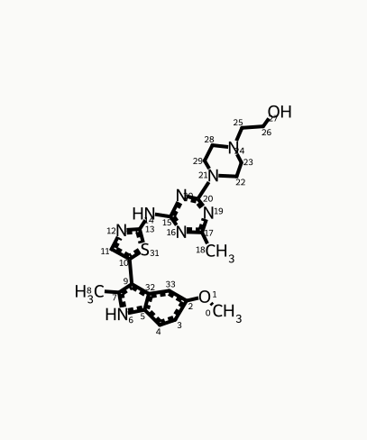 COc1ccc2[nH]c(C)c(-c3cnc(Nc4nc(C)nc(N5CCN(CCO)CC5)n4)s3)c2c1